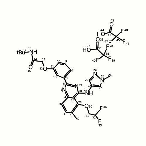 Cc1ccc2nc(-c3cccc(OCC(=O)NC(C)(C)C)c3)nc(Nc3cnn(C)c3)c2c1OCC(F)F.O=C(O)C(F)(F)F.O=C(O)C(F)(F)F